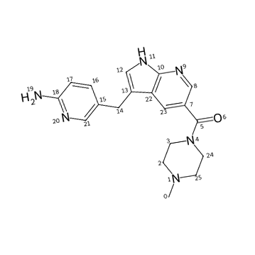 CN1CCN(C(=O)c2cnc3[nH]cc(Cc4ccc(N)nc4)c3c2)CC1